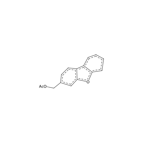 CC(=O)OCc1ccc2c(c1)oc1ccccc12